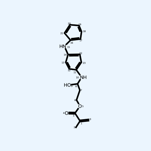 C=C(C)C(=O)OCCC(O)Nc1ccc(Nc2ccccc2)cc1